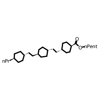 CCCCCOC(=O)[C@H]1CC[C@H](CC[C@H]2CC[C@H](CC[C@H]3CC[C@H](CCC)CC3)CC2)CC1